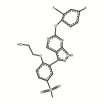 CS(=O)(=O)c1ccc(OCCO)c(-c2n[nH]c3nc(Oc4ccc(F)cc4F)ncc23)c1